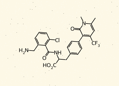 Cc1cc(C(F)(F)F)c(-c2ccc(CC(NC(=O)c3c(Cl)cccc3CN)C(=O)O)cc2)c(=O)n1C